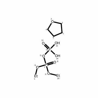 C1CCOC1.CCOP(=O)(OCC)OP(=O)(O)O